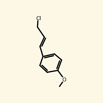 COc1ccc(C=CCCl)cc1